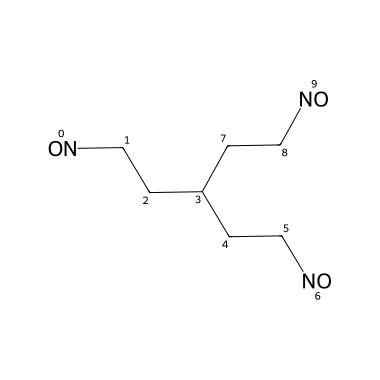 O=NCCC(CCN=O)CCN=O